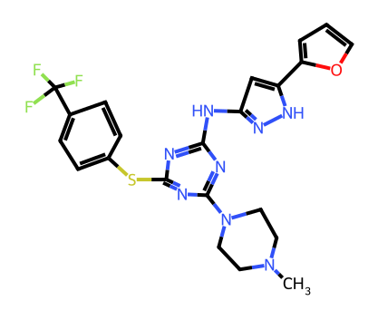 CN1CCN(c2nc(Nc3cc(-c4ccco4)[nH]n3)nc(Sc3ccc(C(F)(F)F)cc3)n2)CC1